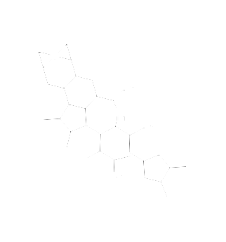 CC(C)C(C)C1CC2C(CC3CS34CC24)C2C(C)C(C)C(C(C(C(C)C)C(C)C(C)C)C(C(C)C)C(CC3CC(C)C(C)C3)C(C)C)C12